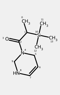 CC(C(=O)N1CC=CNC1)[Si](C)(C)C